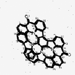 O=c1c2ccccc2n2c3c(-n4c5ccccc5c5ccccc54)c(-n4c5ccccc5c5ccccc54)c4c(c5cccc6c(=O)c7ccccc7n4c65)c3c3cccc1c32